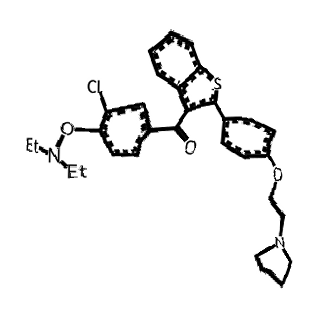 CCN(CC)Oc1ccc(C(=O)c2c(-c3ccc(OCCN4CCCC4)cc3)sc3ccccc23)cc1Cl